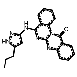 CCCc1cc(Nc2nc3nc4ccccc4c(=O)n3c3ccccc23)n[nH]1